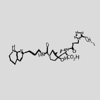 Cc1nnnn1CCC(=O)NC(C(=O)O)C1(O)CCN(C(=O)NCCCc2ccc3c(n2)NCCC3)CC1